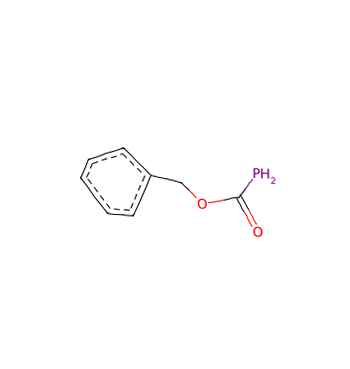 O=C(P)OCc1ccccc1